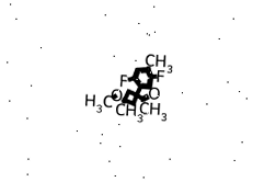 COC1(C)CC(C(C)=O)(c2cc(F)c(C)cc2F)C1